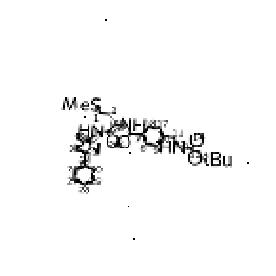 CSCC[C@H](NC(=O)c1ccc(CNC(=O)OC(C)(C)C)cc1)C(=O)Nc1nc(-c2ccccc2)cs1